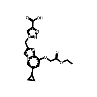 CCOC(=O)COc1cc(C2CC2)cn2cc(Cn3cc(C(=O)O)nn3)nc12